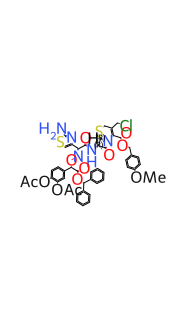 COc1ccc(COC(=O)C2=C(CCl)CS[C@@H]3[C@H](NC(=O)C(=NOC(C(=O)OC(c4ccccc4)c4ccccc4)c4ccc(OC(C)=O)c(OC(C)=O)c4)c4csc(N)n4)C(=O)N23)cc1